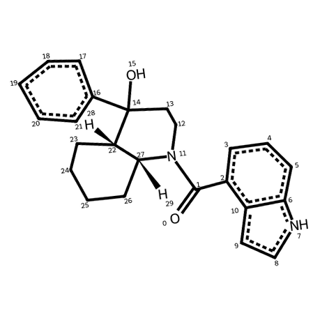 O=C(c1cccc2[nH]ccc12)N1CCC(O)(c2ccccc2)[C@H]2CCCC[C@H]21